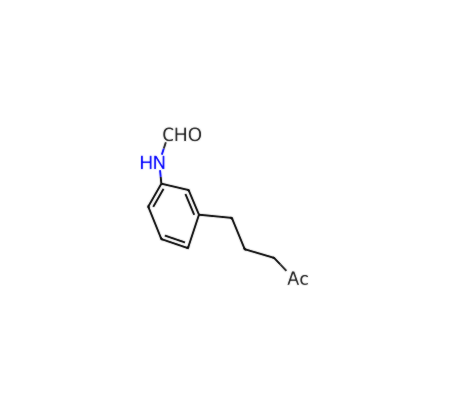 CC(=O)CCCc1cccc(NC=O)c1